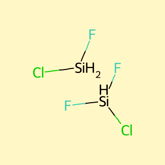 F[SiH2]Cl.F[SiH](F)Cl